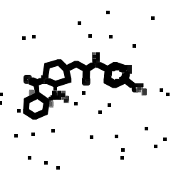 N[C@@H]1CCCC[C@H]1C(=O)N1CCC(CC(=O)Nc2ccc(C(F)(F)F)nc2)CC1